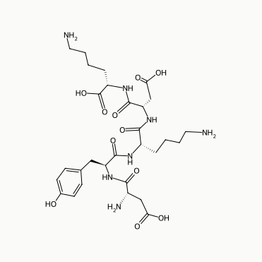 NCCCC[C@H](NC(=O)[C@H](CC(=O)O)NC(=O)[C@H](CCCCN)NC(=O)[C@H](Cc1ccc(O)cc1)NC(=O)[C@@H](N)CC(=O)O)C(=O)O